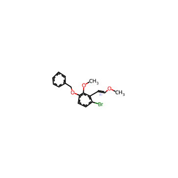 CO/C=C/c1c(Br)ccc(OCc2ccccc2)c1OC